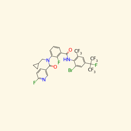 O=C(Nc1c(Br)cc(C(F)(C(F)(F)F)C(F)(F)F)cc1C(F)(F)F)c1cccc(N(CC2CC2)C(=O)c2ccc(F)nc2)c1F